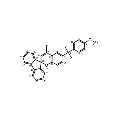 CCOc1ccc(C(C)(C)c2ccc3c(c2)C(C)=CC2(O3)c3ccccc3-c3ccccc32)cc1